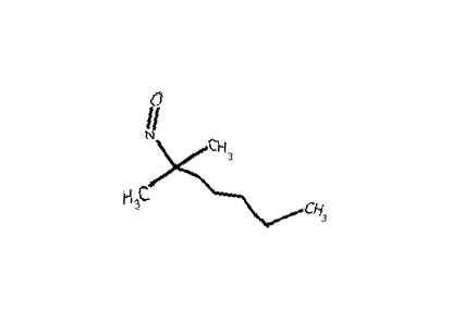 CCCCC(C)(C)N=O